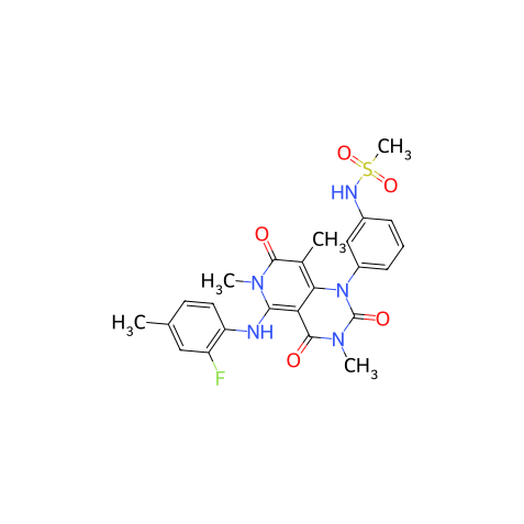 Cc1ccc(Nc2c3c(=O)n(C)c(=O)n(-c4cccc(NS(C)(=O)=O)c4)c3c(C)c(=O)n2C)c(F)c1